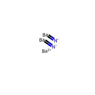 [Ba+2].[N-]=[Ba].[N-]=[Ba]